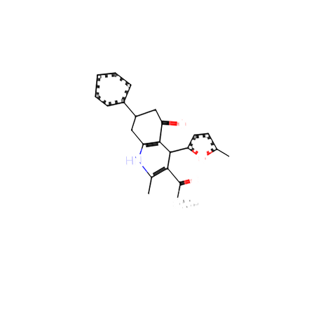 COC(=O)C1=C(C)NC2=C(C(=O)CC(c3ccccc3)C2)C1c1ccc(C)o1